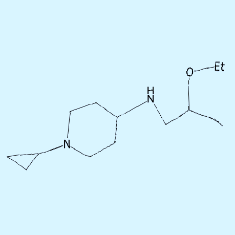 CCOC(C)CNC1CCN(C2CC2)CC1